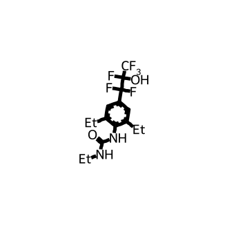 CCNC(=O)Nc1c(CC)cc(C(F)(F)C(O)(F)C(F)(F)F)cc1CC